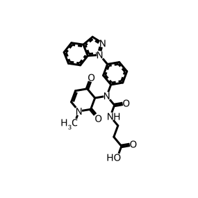 CN1C=CC(=O)C(N(C(=O)NCCC(=O)O)c2cccc(-n3ncc4ccccc43)c2)C1=O